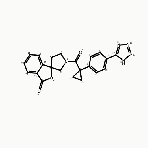 O=C1OC2(CCN(C(=O)C3(c4ccc(-c5nnn[nH]5)cc4)CC3)C2)c2ccccc21